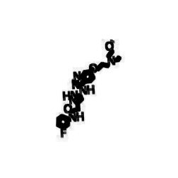 CCN(CCCOc1ccc2c(Nc3cc(CC(=O)Nc4cccc(F)c4)n[nH]3)ncnc2c1)CCOC